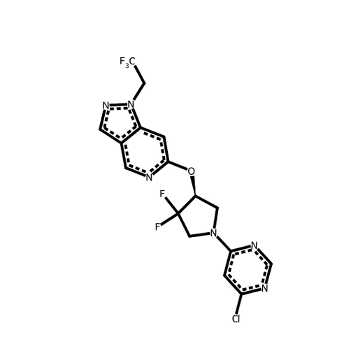 FC(F)(F)Cn1ncc2cnc(O[C@H]3CN(c4cc(Cl)ncn4)CC3(F)F)cc21